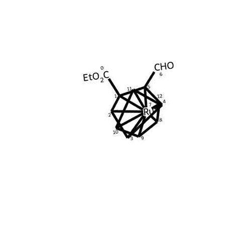 CCOC(=O)[C]12[CH]3[CH]4[CH]5[C]1(C=O)[Ru]45321678[CH]2[CH]1[CH]6[CH]7[CH]28